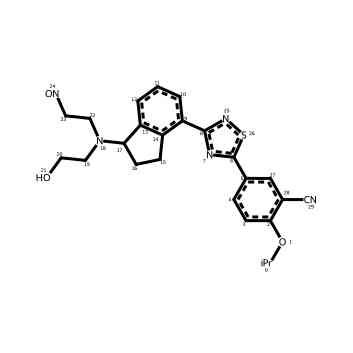 CC(C)Oc1ccc(-c2nc(-c3cccc4c3CCC4N(CCO)CCN=O)ns2)cc1C#N